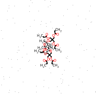 C=CC(=O)OCC(COC(=O)C=C)(COC(=O)C=C)CO[Si](C)(C)O[Si](C)(C)O[Si](C)(C)OCC(COC(=O)C=C)(COC(=O)C=C)COC(=O)C=C